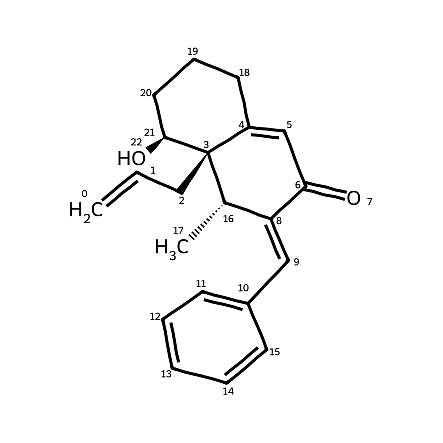 C=CC[C@@]12C(=CC(=O)/C(=C/c3ccccc3)[C@@H]1C)CCC[C@@H]2O